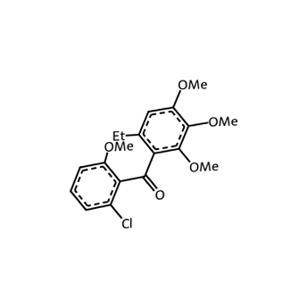 CCc1cc(OC)c(OC)c(OC)c1C(=O)c1c(Cl)cccc1OC